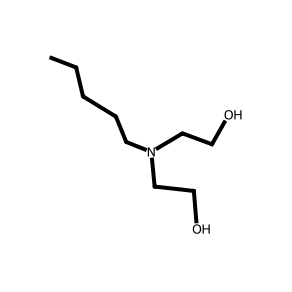 CCCCCN(CCO)CCO